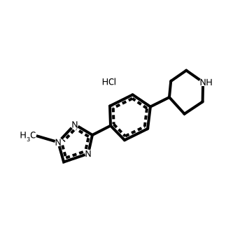 Cl.Cn1cnc(-c2ccc(C3CCNCC3)cc2)n1